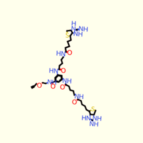 C#CCOCCNC(=O)c1cc(NC(=O)CCCCNC(=O)CCCCC2SCC3NC(=N)NC32)cc(NC(=O)CCCCNC(=O)CCCCC2SCC3NC(=N)NC32)c1